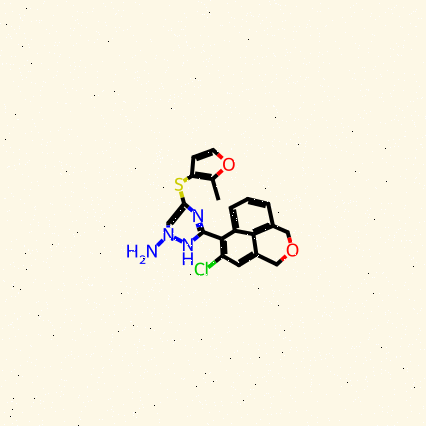 Cc1occc1SC1=CN(N)NC(c2c(Cl)cc3c4c(cccc24)COC3)=N1